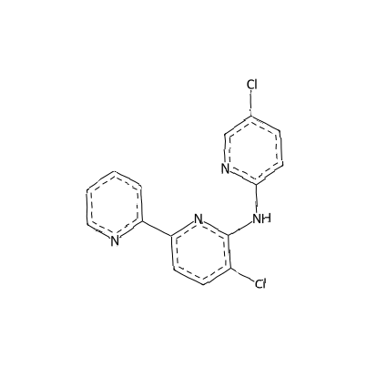 Clc1ccc(Nc2nc(-c3ccccn3)ccc2Cl)nc1